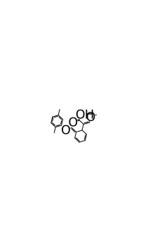 COC=C(C(=O)O)C1C=CC=CC1=COc1cc(C)ccc1C